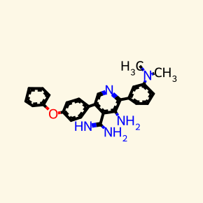 CN(C)c1cccc(-c2ncc(-c3ccc(Oc4ccccc4)cc3)c(C(=N)N)c2N)c1